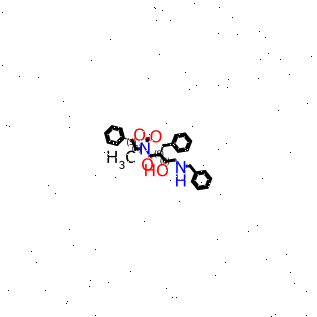 C[C@@H]1[C@H](c2ccccc2)OC(=O)N1C(=O)[C@@H](Cc1ccccc1)[C@@H](O)CNCc1ccccc1